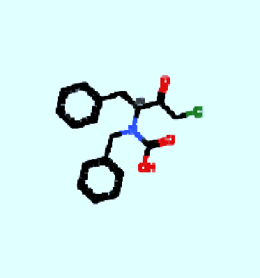 O=C(CCl)[C@H](Cc1ccccc1)N(Cc1ccccc1)C(=O)O